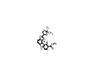 Cc1c(C(=O)OC(C)C)ncc2[nH]c3ccc4oc(C5COC(C)(C)O5)nc4c3c12